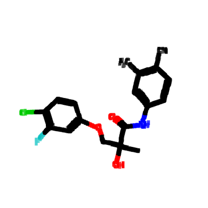 CC(O)(COc1ccc(Cl)c(F)c1)C(=O)Nc1ccc(C#N)c(C(F)(F)F)c1